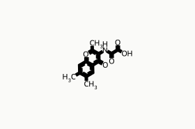 Cc1cc2oc(C)c(NC(=O)C(=O)O)c(=O)c2cc1C